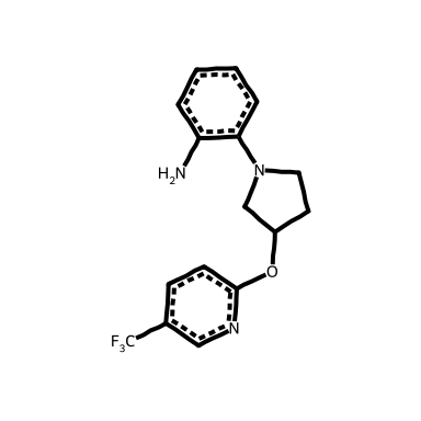 Nc1ccccc1N1CCC(Oc2ccc(C(F)(F)F)cn2)C1